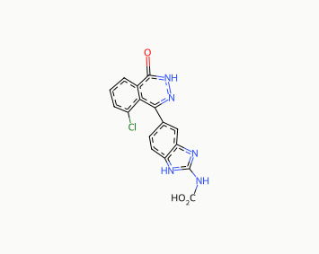 O=C(O)Nc1nc2cc(-c3n[nH]c(=O)c4cccc(Cl)c34)ccc2[nH]1